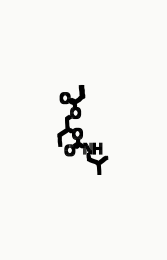 C=CC(=O)OCC(CC)OC(=O)NCC(C)C